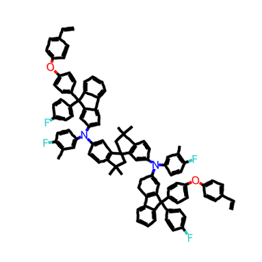 C=Cc1ccc(Oc2ccc(C3(c4ccc(F)cc4)C4=C(CCC(N(c5ccc(F)c(C)c5)c5ccc6c(c5)C5(CC6(C)C)CC(C)(C)c6ccc(N(c7ccc(F)c(C)c7)c7ccc8c(c7)C(c7ccc(F)cc7)(c7ccc(Oc9ccc(C=C)cc9)cc7)c7ccccc7-8)cc65)=C4)c4ccccc43)cc2)cc1